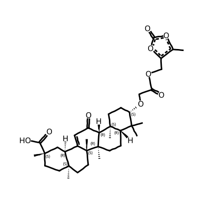 Cc1oc(=O)oc1COC(=O)CO[C@H]1CC[C@]2(C)[C@H]3C(=O)C=C4[C@@H]5C[C@@](C)(C(=O)O)CC[C@]5(C)CC[C@@]4(C)[C@]3(C)CC[C@H]2C1(C)C